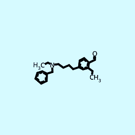 CCc1cc(CCCCN(CC)Cc2ccccc2)ccc1C=O